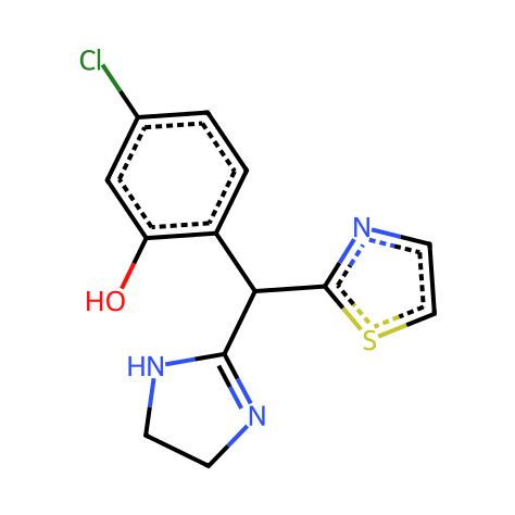 Oc1cc(Cl)ccc1C(C1=NCCN1)c1nccs1